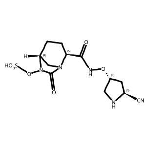 N#C[C@@H]1C[C@@H](ONC(=O)[C@@H]2CC[C@@H]3CN2C(=O)N3OS(=O)(=O)O)CN1